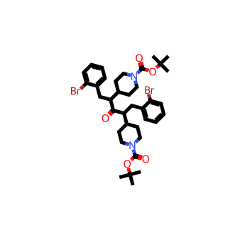 CC(C)(C)OC(=O)N1CCC(C(Cc2ccccc2Br)C(=O)C(Cc2ccccc2Br)C2CCN(C(=O)OC(C)(C)C)CC2)CC1